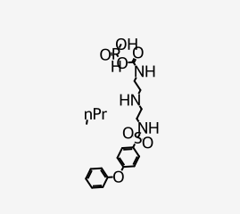 CCCC.O=C(NCCNCCNS(=O)(=O)c1ccc(Oc2ccccc2)cc1)O[PH](=O)O